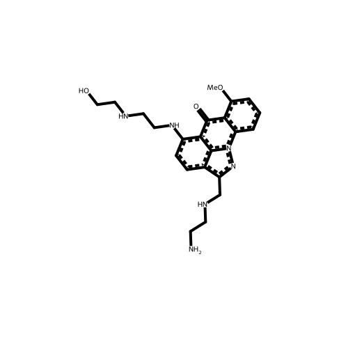 COc1cccc2c1c(=O)c1c(NCCNCCO)ccc3c(CNCCN)nn2c31